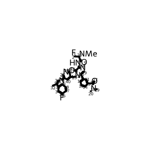 CNC(CF)C(=O)Nc1ncc(-c2cccc(C(=O)N(C)C)c2)n(Cc2cncc(-n3cc(C)c4cc(F)ccc43)c2)c1=O